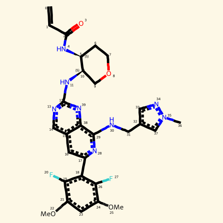 C=CC(=O)N[C@H]1CCOC[C@H]1Nc1ncc2cc(-c3c(F)c(OC)cc(OC)c3F)nc(NCc3cnn(C)c3)c2n1